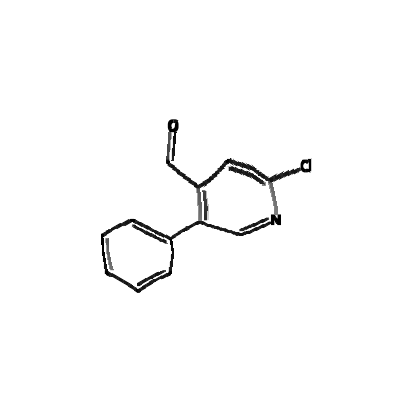 O=Cc1cc(Cl)ncc1-c1ccccc1